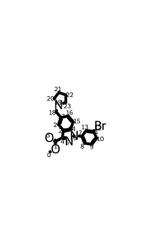 COC(=O)c1nn(-c2cccc(Br)c2)c2ccc(CN3CCCC3)cc12